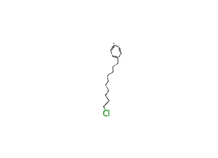 ClCCCCCCCCCCc1cc[c]cc1